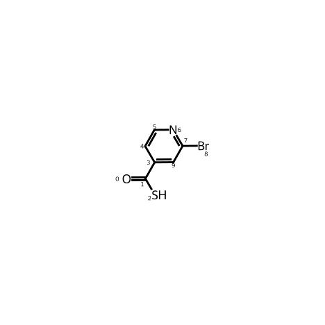 O=C(S)c1ccnc(Br)c1